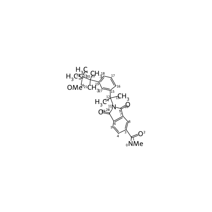 CNC(=O)c1ccc2c(c1)C(=O)N(C(C)(C)c1cccc(C(C)(C)[Si](C)(C)OC)c1)C2=O